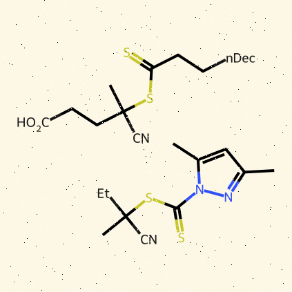 CCC(C)(C#N)SC(=S)n1nc(C)cc1C.CCCCCCCCCCCCC(=S)SC(C)(C#N)CCC(=O)O